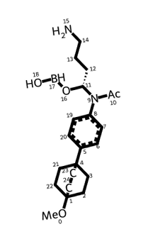 COC12CCC(c3ccc(N(C(C)=O)[C@@H](CCCN)OBO)cc3)(CC1)CC2